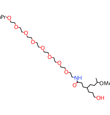 CCCOCCOCCOCCOCCOCCOCCOCCOCCNC(=O)CCC(CCCO)CCC(C)OC